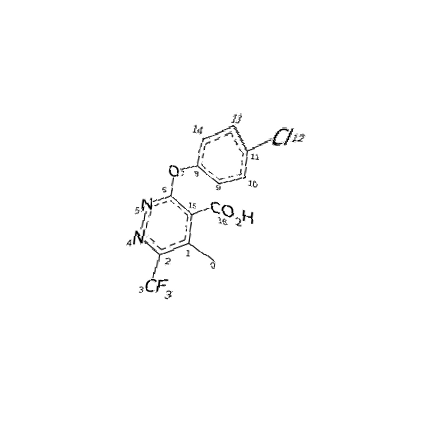 Cc1c(C(F)(F)F)nnc(Oc2ccc(Cl)cc2)c1C(=O)O